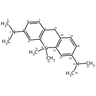 CN(C)c1ccc2c(c1)[Si](C)(C)c1cc(N(C)C)ccc1C2